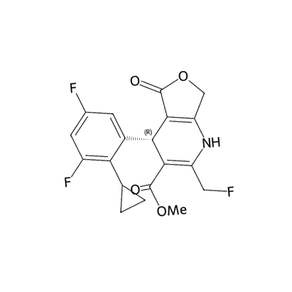 COC(=O)C1=C(CF)NC2=C(C(=O)OC2)[C@H]1c1cc(F)cc(F)c1C1CC1